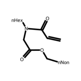 C=CC(=O)N(CCCCCC)CC(=O)OCCCCCCCCCC